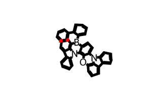 c1ccc(-c2ccccc2B2c3ccc4c(c3-n3c5ccccc5c5cccc2c53)Oc2cccc3c5ccccc5n-4c23)cc1